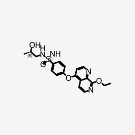 CCOc1nccc2c(Oc3ccc([S@](=N)(=O)NC[C@@H](C)O)cc3)ccnc12